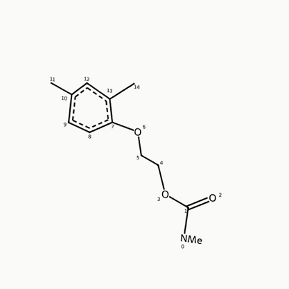 CNC(=O)OCCOc1ccc(C)cc1C